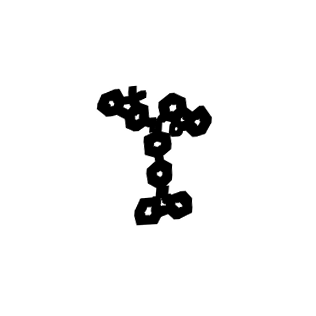 CC1(C)c2ccccc2-c2ccc(N(c3ccc(-c4ccc(-n5c6ccccc6c6ccccc65)cc4)cc3)c3cccc4c3oc3ccccc34)cc21